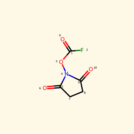 O=C(F)ON1C(=O)CCC1=O